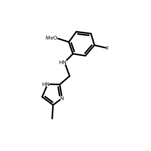 COc1ccc(F)cc1NCc1nc(C)c[nH]1